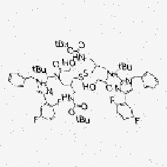 CC(C)(C)OC(=O)NCC(CSSCC(CNC(=O)OC(C)(C)C)CN(C(=O)CO)[C@@H](c1nc(-c2cc(F)ccc2F)cn1Cc1ccccc1)C(C)(C)C)CN(C(=O)CO)C(c1nc(-c2cc(F)ccc2F)cn1Cc1ccccc1)C(C)(C)C